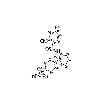 CCCS(=O)(=O)N1CCN(C2(CNC(=O)c3ccc(F)cc3Cl)CCCCC2)CC1